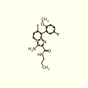 CCCNC(=O)c1nc2c(-c3cc(F)ccc3OC)c(F)ccn2c1N